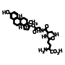 C[C@]12CC[C@@H]3c4ccc(O)cc4CC[C@H]3[C@@H]1CC[C@@H]2OC(=O)CNC(=O)C(CS)NC(=O)CCC(N)C(=O)O